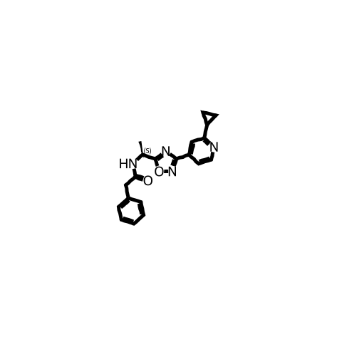 C[C@H](NC(=O)Cc1ccccc1)c1nc(-c2ccnc(C3CC3)c2)no1